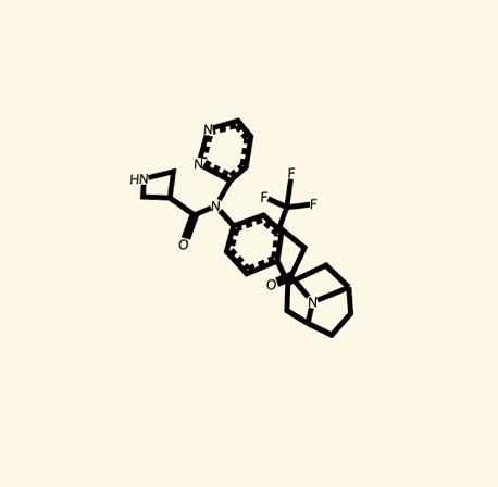 O=C(C1CNC1)N(c1ccc(C2CC3CCC(C2)N3C(=O)CCC(F)(F)F)cc1)c1cccnn1